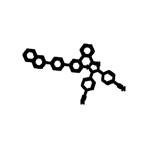 N#CC1=CCC(C2N=C3c4ccccc4-c4cc(-c5ccc(-c6ccc7ccccc7c6)cc5)ccc4N3C2C2=CCC(C#N)C=C2)C=C1